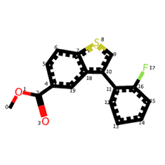 COC(=O)c1ccc2scc(-c3ccccc3F)c2c1